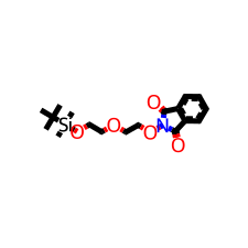 CC(C)(C)[Si](C)(C)OCCOCCON1C(=O)c2ccccc2C1=O